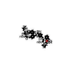 CCCC[C@H](NC(=O)[C@@H](Cc1cscn1)NS(=O)(=O)Cc1ccccc1)C(=O)NCc1ccc(C(=N)N(C(=N)c2ccc(CNC(=O)[C@H](CCCC)NC(=O)[C@@H](Cc3cscn3)NS(=O)(=O)Cc3ccccc3)cc2)C(=O)O)cc1